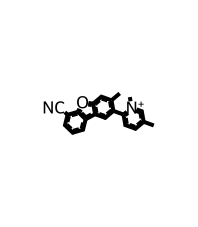 Cc1ccc(-c2cc3c(cc2C)oc2c(C#N)cccc23)[n+](C)c1